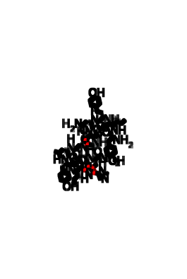 CC[C@@H](C)[C@@H](NC(=O)[C@H](N)Cc1ccc(O)cc1)C(=O)N[C@H](CCc1ccc(O)cc1)C(=O)N[C@H](CC(N)=O)C(=O)N[C@@H](C(=O)N[C@H](C)C(=O)NCC(=O)N[C@H](CC(C)C)C(=O)N[C@H](Cc1ccc(O)cc1)C(=O)N[C@@H](C(=O)N[C@H](CCc1cnc[nH]1)C(=O)N[C@H](Cc1cnc[nH]1)C(N)=O)[C@H](C)CC)C(C)C